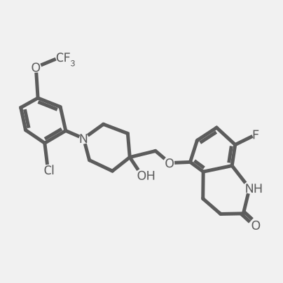 O=C1CCc2c(OCC3(O)CCN(c4cc(OC(F)(F)F)ccc4Cl)CC3)ccc(F)c2N1